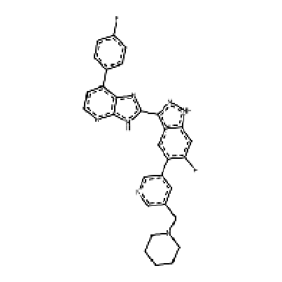 Fc1ccc(-c2ccnc3[nH]c(-c4n[nH]c5cc(F)c(-c6cncc(CN7CCCCC7)c6)cc45)nc23)cc1